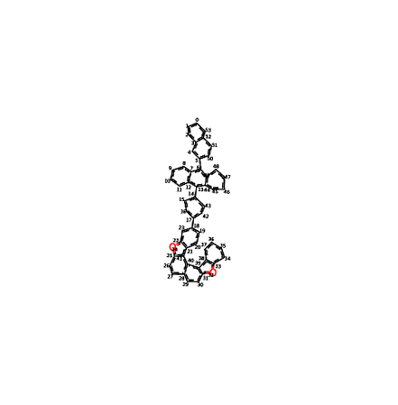 c1ccc2cc(-c3c4ccccc4c(-c4ccc(-c5ccc6c(c5)oc5ccc7ccc8oc9ccccc9c8c7c56)cc4)c4ccccc34)ccc2c1